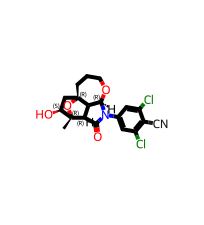 C[C@@]12O[C@]3(CCCO[C@@H]4C3[C@H]1C(=O)N4c1cc(Cl)c(C#N)c(Cl)c1)C[C@@H]2O